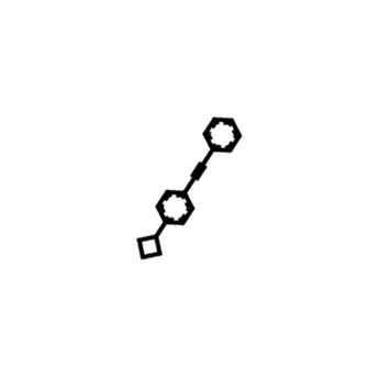 C(#Cc1ccc(C2CCC2)cc1)c1ccccc1